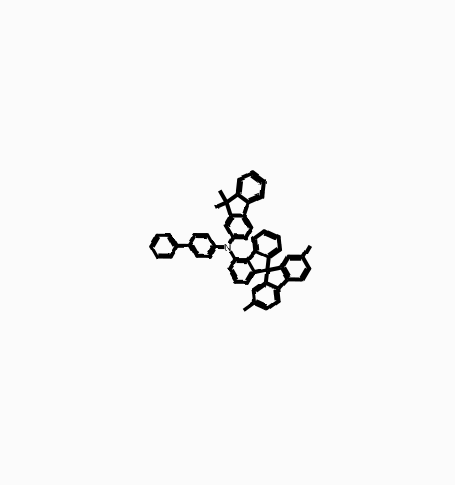 Cc1ccc2c(c1)C1(c3cc(C)ccc3-2)c2ccccc2-c2c(N(c3ccc(-c4ccccc4)cc3)c3ccc4c(c3)C(C)(C)c3ccccc3-4)cccc21